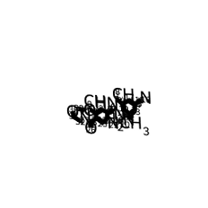 COc1cc2c(N[C@H](C)c3cc(N)cc(C#N)c3)nc(C)nc2cc1C(=O)N1CCOCC1